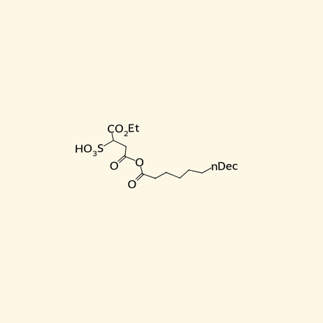 CCCCCCCCCCCCCCCC(=O)OC(=O)CC(C(=O)OCC)S(=O)(=O)O